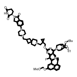 C#Cc1cccc2cc(OCOC)cc(-c3ncc4c(N5CC6CC(OCC)C(C5)N6C(=O)OC(C)(C)C)nc(OCC5(CN6CCC7(CC6)CC(CN6CCN(c8ccc9c(c8)CN([C@H]8CCC(=O)NC8=O)C9=O)CC6)C7)CC5)nc4c3F)c12